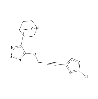 Clc1ccc(C#CCOc2nsnc2C2CN3CCC2CC3)s1